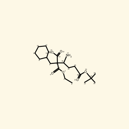 CCOC(=O)C(CC1CCCCC1)(C(=O)O)C(N)CCC(=O)OC(C)(C)C